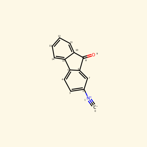 [C-]#[N+]c1ccc2c(c1)C(=O)c1ccccc1-2